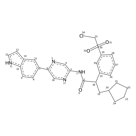 O=C(Nc1cnc(-c2ccc3[nH]ccc3c2)cn1)C(CC1CCCC1)c1cccc(S(=O)(=O)CCl)c1